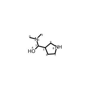 CN(C)C(O)C1CCNC1